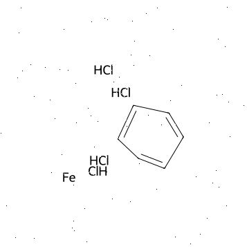 Cl.Cl.Cl.Cl.[Fe].c1ccccc1